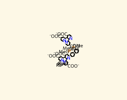 COP(OC)c1ccccc1.COP(OC)c1ccccc1.O=C([O-])c1ccnc(-c2nccc(C(=O)[O-])c2-c2cc(C(=O)[O-])ccn2)c1.O=C([O-])c1ccnc(-c2nccc(C(=O)[O-])c2-c2cc(C(=O)[O-])ccn2)c1.[Ru+2].[Ru+2].[Ru+2]